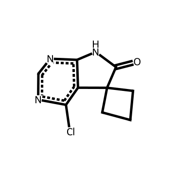 O=C1Nc2ncnc(Cl)c2C12CCC2